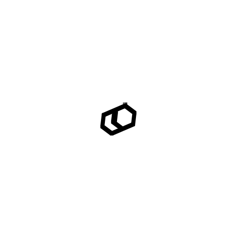 [C]1CCC2C=C1CCC2